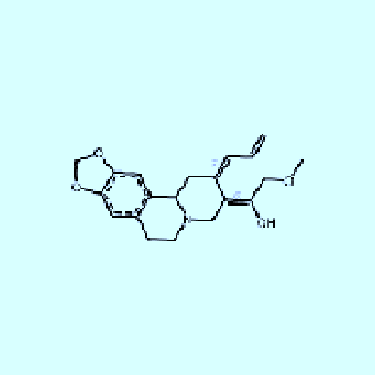 C=C/C=C1/CC2c3cc4c(cc3CCN2C/C1=C(\O)COC)OCO4